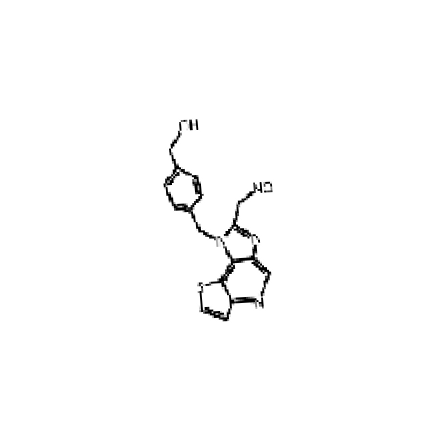 O=NCc1nc2cnc3ccsc3c2n1Cc1ccc(CO)cc1